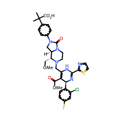 COC[C@@H]1[C@H]2CN(c3ccc(C(C)(C)C(=O)O)cc3)C(=O)N2CCN1CC1=C(C(=O)OC)[C@H](c2ccc(F)cc2Cl)N=C(c2nccs2)N1